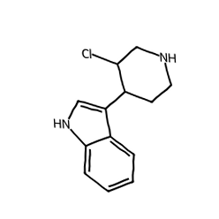 ClC1CNCCC1c1c[nH]c2ccccc12